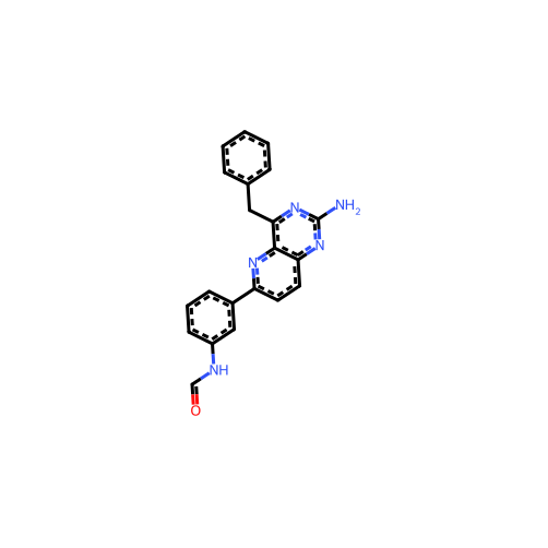 Nc1nc(Cc2ccccc2)c2nc(-c3cccc(NC=O)c3)ccc2n1